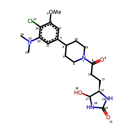 COc1cc(C2CCN(C(=O)CC[C@H]3NC(=O)NC3O)CC2)cc(N(C)C)c1Cl